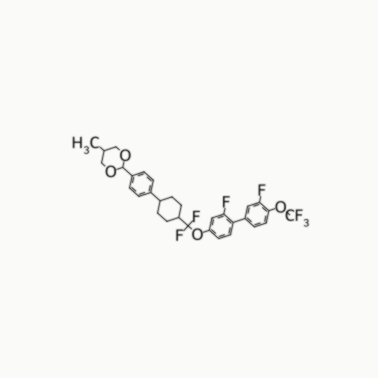 CC1COC(c2ccc(C3CCC(C(F)(F)Oc4ccc(-c5ccc(OC(F)(F)F)c(F)c5)c(F)c4)CC3)cc2)OC1